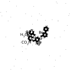 CS(=O)(=O)c1cncc(COc2cc(OCc3cccc(-c4ccccc4)c3Br)c3nonc3c2CN2CCCC[C@H]2C(=O)O)c1